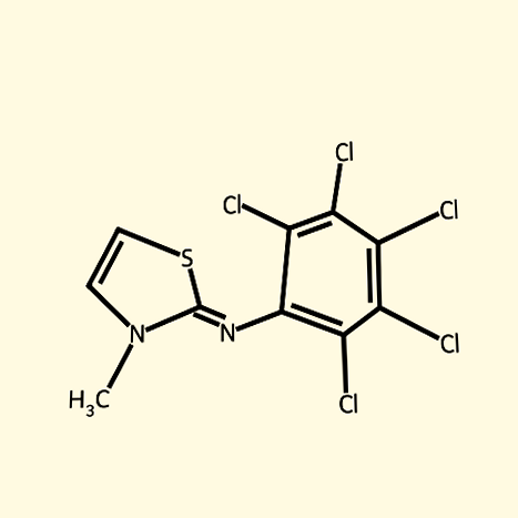 Cn1ccsc1=Nc1c(Cl)c(Cl)c(Cl)c(Cl)c1Cl